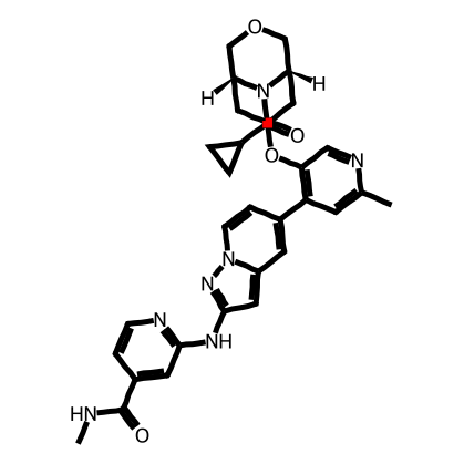 CNC(=O)c1ccnc(Nc2cc3cc(-c4cc(C)ncc4OC4C[C@H]5COC[C@@H](C4)N5C(=O)C4CC4)ccn3n2)c1